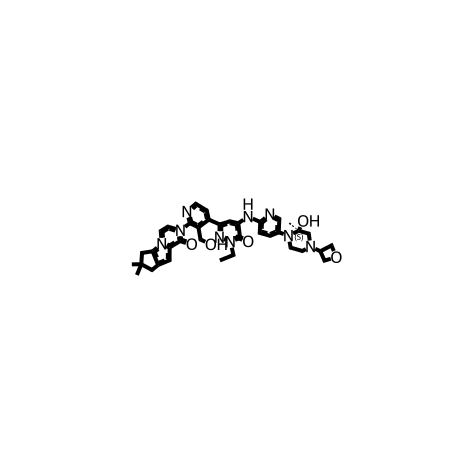 CCn1nc(-c2ccnc(-n3ccn4c5c(cc4c3=O)CC(C)(C)C5)c2CO)cc(Nc2ccc(N3CCN(C4COC4)C[C@]3(C)O)cn2)c1=O